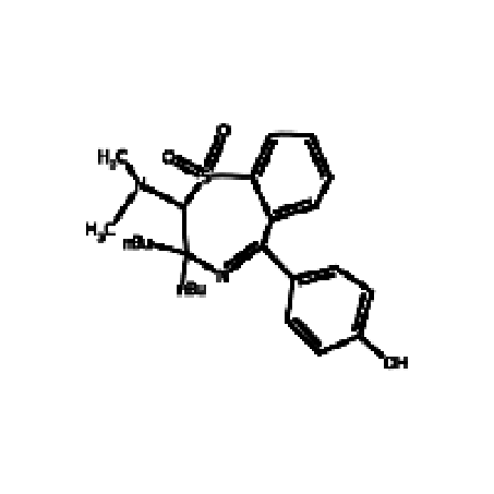 CCCCC1(CCCC)N=C(c2ccc(O)cc2)c2ccccc2S(=O)(=O)C1N(C)C